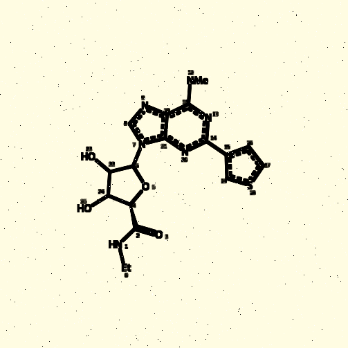 CCNC(=O)[C@@H]1OC(n2cnc3c(NC)nc(-c4ccsc4)nc32)C(O)C1O